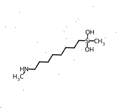 CNCCCCCCCC[Si](C)(O)O